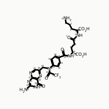 NCCC[C@@H](NC(=O)CC[C@@H](NC(=O)c1ccc(N(Cc2cnc3nc(N)[nH]c(=O)c3n2)C(=O)C(F)(F)F)cc1)C(=O)O)C(=O)O